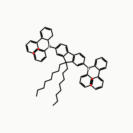 CCCCCCCCC1(CCCCCCCC)c2cc(N(c3ccccc3)c3ccccc3-c3ccccc3)ccc2-c2ccc(N(c3ccccc3)C3CC=CC=C3c3ccccc3)cc21